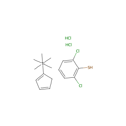 Cl.Cl.Sc1c(Cl)cccc1Cl.[CH3][Ti]([CH3])([CH3])([CH3])([CH3])[C]1=CC=CC1